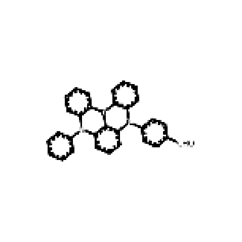 O=Cc1ccc(N2c3ccccc3B3c4ccccc4N(c4ccccc4)c4cccc2c43)cc1